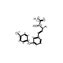 C[C@@H](C=Cc1cccc(Oc2ccc(Cl)cc2)c1)N(O)C(N)=O